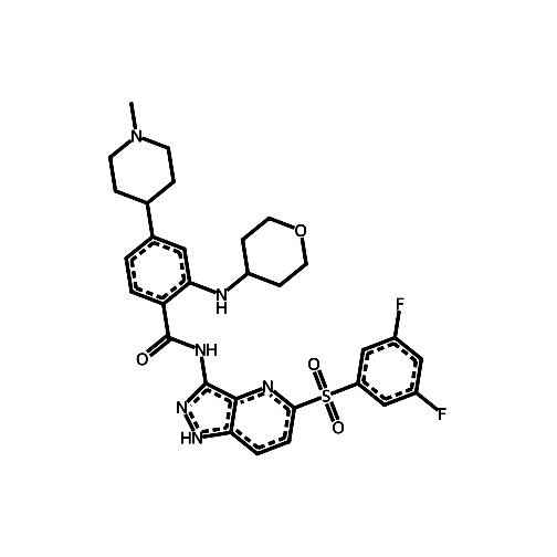 CN1CCC(c2ccc(C(=O)Nc3n[nH]c4ccc(S(=O)(=O)c5cc(F)cc(F)c5)nc34)c(NC3CCOCC3)c2)CC1